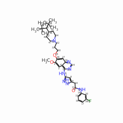 COc1cc2c(Nc3cc(CC(=O)Nc4cccc(F)c4)[nH]n3)ncnc2cc1OCCCN1CCC(C(C(C)(C)C)C(C)(C)C)CC1